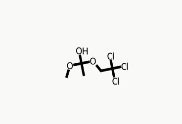 COC(C)(O)OCC(Cl)(Cl)Cl